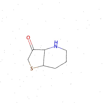 O=C1CSC2CCCNC12